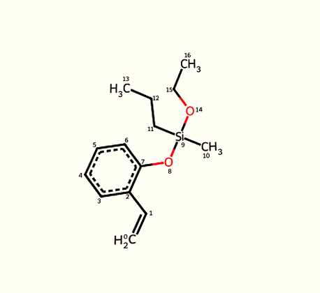 C=Cc1ccccc1O[Si](C)(CCC)OCC